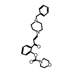 O=C(C=CN1CCN(Cc2ccccc2)CC1)c1ccccc1OC(=O)N1CCOCC1